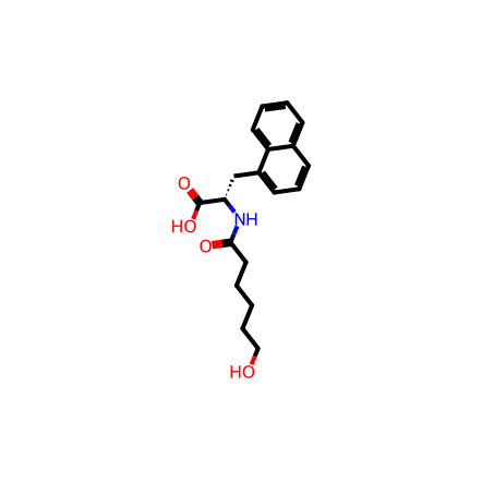 O=C(CCCCCO)N[C@@H](Cc1cccc2ccccc12)C(=O)O